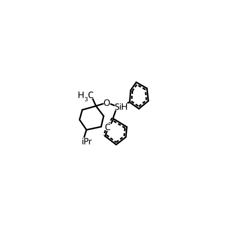 CC(C)C1CCC(C)(O[SiH](c2ccccc2)c2ccccc2)CC1